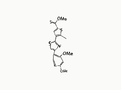 COC(=S)c1cc(-c2nc(-c3ccc(OC)cc3OC)cs2)c(C)s1